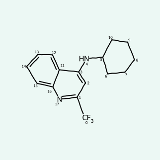 FC(F)(F)c1cc(NC2CCCCC2)c2ccccc2n1